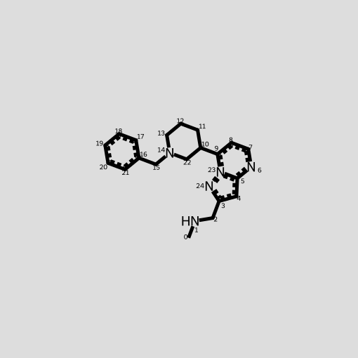 CNCc1cc2nccc(C3CCCN(Cc4ccccc4)C3)n2n1